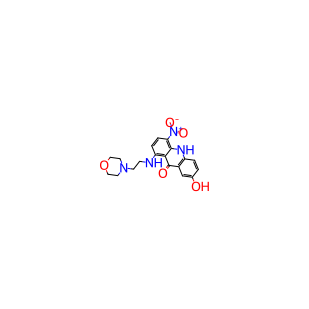 O=c1c2cc(O)ccc2[nH]c2c([N+](=O)[O-])ccc(NCCN3CCOCC3)c12